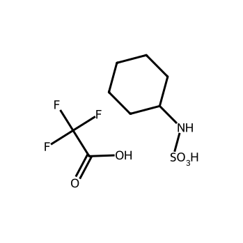 O=C(O)C(F)(F)F.O=S(=O)(O)NC1CCCCC1